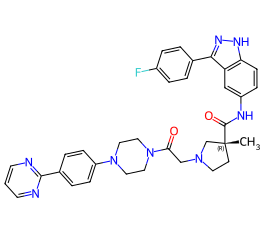 C[C@@]1(C(=O)Nc2ccc3[nH]nc(-c4ccc(F)cc4)c3c2)CCN(CC(=O)N2CCN(c3ccc(-c4ncccn4)cc3)CC2)C1